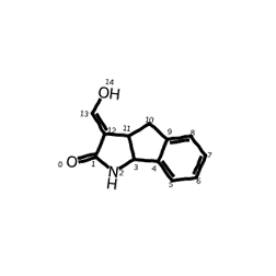 O=C1NC2c3ccccc3CC2/C1=C\O